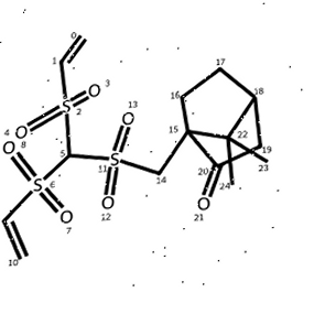 C=CS(=O)(=O)C(S(=O)(=O)C=C)S(=O)(=O)CC12CCC(CC1=O)C2(C)C